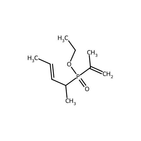 C=C(C)P(=O)(OCC)C(C)/C=C/C